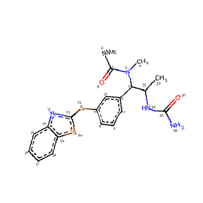 CNC(=O)N(C)C(c1cccc(Sc2nc3ccccc3s2)c1)C(C)NC(N)=O